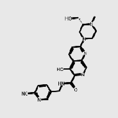 CN1CCN(c2ccc3c(O)c(C(=O)NCc4ccc(C#N)nc4)ncc3n2)C[C@@H]1CO